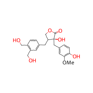 COc1cc(C[C@@]2(O)C(=O)OCC2Cc2ccc(CO)c(CO)c2)ccc1O